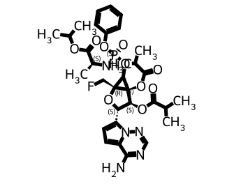 CC(C)OC(=O)[C@H](C)N[P@@](=O)(Oc1ccccc1)OC1[C@@]2(CF)O[C@@H](c3ccc4c(N)ncnn34)[C@H](OC(=O)C(C)C)[C@@]12OC(=O)C(C)C